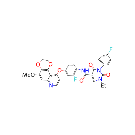 CCn1cc(C(=O)Nc2ccc(Oc3ccnc4cc(OC)c5c(c34)OCCO5)cc2F)c(=O)n(-c2ccc(F)cc2)c1=O